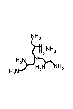 N.NCC(N)CN(CC(N)CN)CC(N)CN